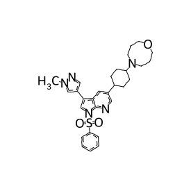 Cn1cc(-c2cn(S(=O)(=O)c3ccccc3)c3ncc(C4CCC(N5CCCOCCC5)CC4)cc23)cn1